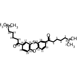 CN(C)CCCCC(=O)c1ccc2c(c1)Sc1cc(C(=O)CCCCN(C)C)ccc1O2